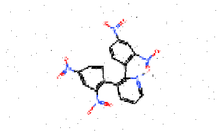 C[n+]1cccc(-c2ccc([N+](=O)[O-])cc2[N+](=O)[O-])c1-c1ccc([N+](=O)[O-])cc1[N+](=O)[O-]